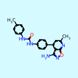 Cc1ccc(NC(=O)Nc2ccc(-c3cc(C)nc4onc(N)c34)cc2)cc1